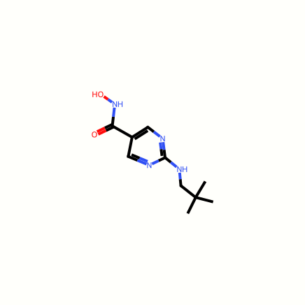 CC(C)(C)CNc1ncc(C(=O)NO)cn1